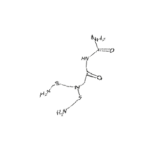 NSN(SN)C(=O)NC(N)=O